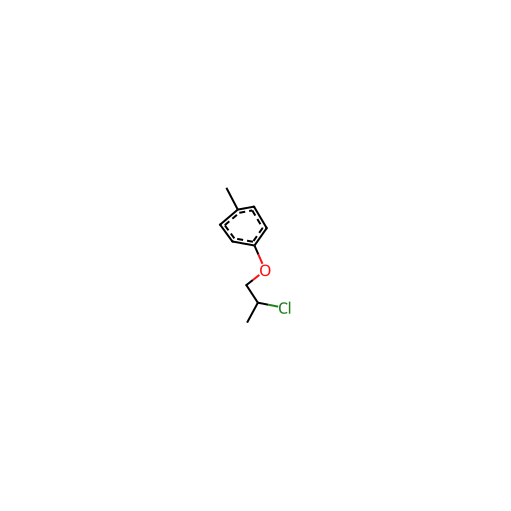 Cc1ccc(OCC(C)Cl)cc1